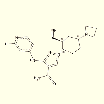 N=C[C@H]1C[C@H](N2CCC2)CC[C@@H]1n1cc(C(N)=O)c(Nc2ccnc(F)c2)n1